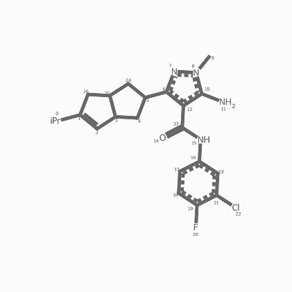 CC(C)C1=CC2CC(c3nn(C)c(N)c3C(=O)Nc3ccc(F)c(Cl)c3)CC2C1